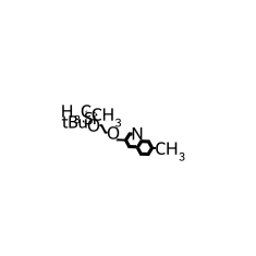 Cc1ccc2cc(COCCO[Si](C)(C)C(C)(C)C)cnc2c1